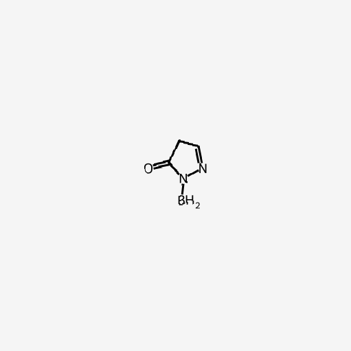 BN1N=CCC1=O